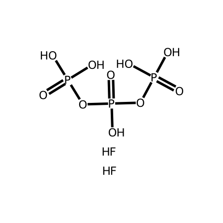 F.F.O=P(O)(O)OP(=O)(O)OP(=O)(O)O